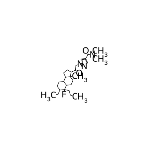 CCCC1(F)C(CC)CCC2C3CCC(C(=O)Cn4cc(C(=O)N(C)C)cn4)C3(C)CCC21